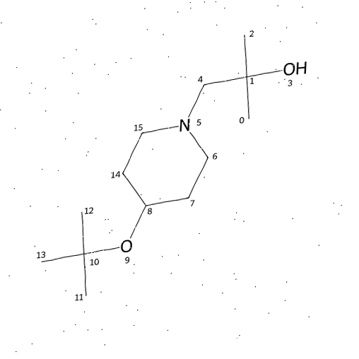 CC(C)(O)CN1CCC(OC(C)(C)C)CC1